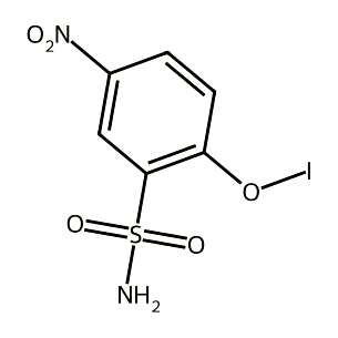 NS(=O)(=O)c1cc([N+](=O)[O-])ccc1OI